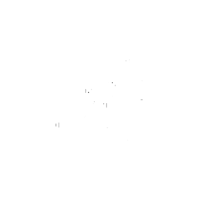 CC(C)(C)c1ccnc(-n2c3ccccc3c3ccc(O)nc32)c1